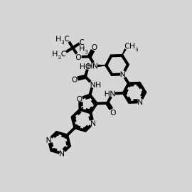 C[C@@H]1C[C@H](NC(=O)OC(C)(C)C)CN(c2ccncc2NC(=O)c2c(NC(=O)O)oc3cc(-c4cncnc4)cnc23)C1